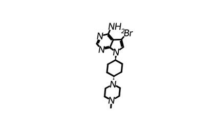 CN1CCN([C@H]2CC[C@H](n3cc(Br)c4c(N)ncnc43)CC2)CC1